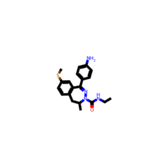 CCNC(=O)N1N=C(c2ccc(N)cc2)c2cc(SC)ccc2CC1C